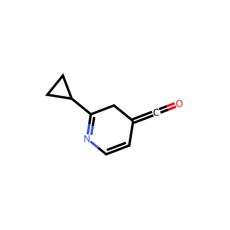 O=C=C1C=CN=C(C2CC2)C1